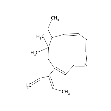 C=CC(=C/C)/C1=C/C=N/C=C\C=C/C(CC)C(C)(C)C1